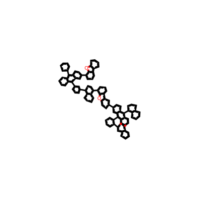 c1ccc(-c2c3ccccc3c(-c3cccc(-c4ccc(-c5cccc6c5oc5ccc(-c7ccc8c(-c9cccc%10ccccc9%10)c9ccccc9c(-c9ccccc9-c9ccc%10ccccc%10c9)c8c7)cc56)c5ccccc45)c3)c3cc(-c4cccc5c4oc4ccccc45)ccc23)cc1